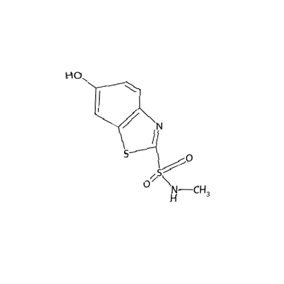 CNS(=O)(=O)c1nc2ccc(O)cc2s1